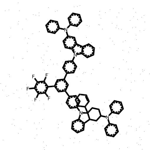 Fc1c(F)c(F)c(-c2cc(-c3ccc(N4c5ccccc5C5CC(N(c6ccccc6)c6ccccc6)CCC54C4C=CCCC4)cc3)cc(-c3ccc(-n4c5ccccc5c5cc(N(c6ccccc6)c6ccccc6)ccc54)cc3)c2)c(F)c1F